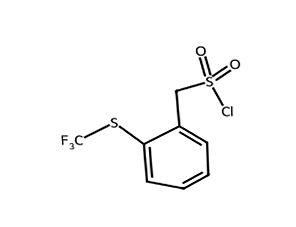 O=S(=O)(Cl)Cc1ccccc1SC(F)(F)F